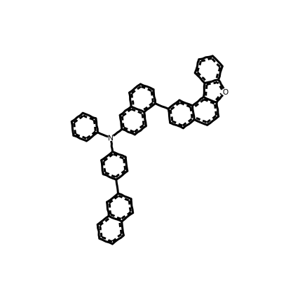 c1ccc(N(c2ccc(-c3ccc4ccccc4c3)cc2)c2ccc3c(-c4ccc5ccc6oc7ccccc7c6c5c4)cccc3c2)cc1